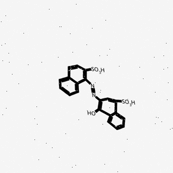 O=S(=O)(O)c1ccc2ccccc2c1N=Nc1cc(S(=O)(=O)O)c2ccccc2c1O